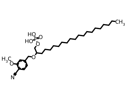 CCCCCCCCCCCCCCCCCCCC(COP(=O)(O)O)OCc1ccc(C#N)c(OC)c1